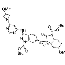 COc1ccc2c(c1)[C@]1(C[C@H]1c1ccc3c(Nc4cc(N5CC(OC)C5)ncn4)nn(C(=O)OC(C)(C)C)c3c1)C(=O)N2C(=O)OC(C)(C)C